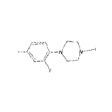 Cc1ccc(N2CCN(I)CC2)c(F)c1